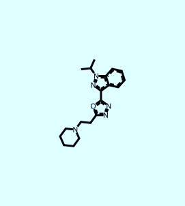 CC(C)n1nc(-c2nnc(CCN3CCCCC3)o2)c2ccccc21